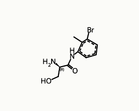 Cc1c(Br)cccc1NC(=O)[C@H](N)CO